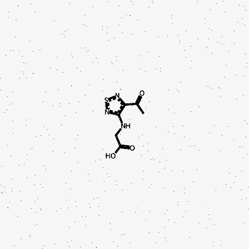 CC(=O)c1nsnc1NCC(=O)O